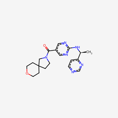 C[C@H](Nc1ncc(C(=O)N2CCC3(CCOCC3)C2)cn1)c1ccncn1